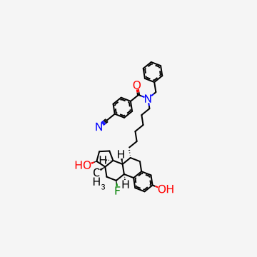 C[C@]12C[C@H](F)[C@@H]3c4ccc(O)cc4C[C@@H](CCCCCCN(Cc4ccccc4)C(=O)c4ccc(C#N)cc4)[C@H]3[C@@H]1CC[C@@H]2O